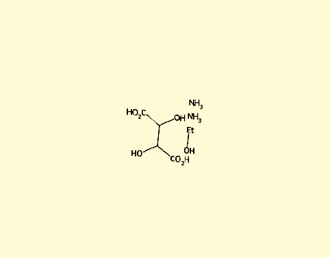 CCO.N.N.O=C(O)C(O)C(O)C(=O)O